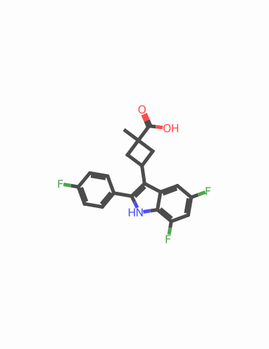 CC1(C(=O)O)CC(c2c(-c3ccc(F)cc3)[nH]c3c(F)cc(F)cc23)C1